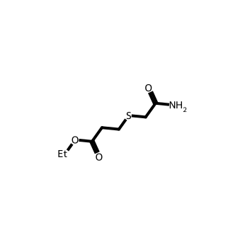 CCOC(=O)CCSCC(N)=O